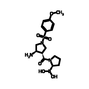 COc1ccc(S(=O)(=O)N2C[C@H](C(=O)N3CCC[C@H]3B(O)O)[C@@H](N)C2)cc1